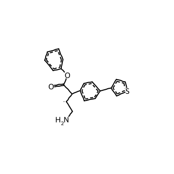 NC[CH]C(C(=O)Oc1ccccc1)c1ccc(-c2ccsc2)cc1